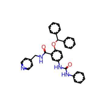 O=C(Nc1ccccc1)Nc1ccc(OC(c2ccccc2)c2ccccc2)c(C(=O)NCc2ccncc2)c1